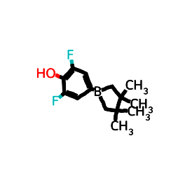 CC1(C)CB(c2cc(F)c(O)c(F)c2)CC1(C)C